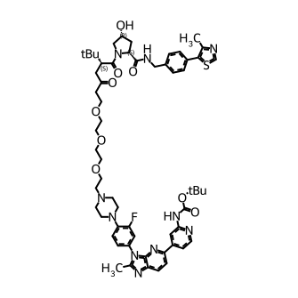 Cc1ncsc1-c1ccc(CNC(=O)[C@@H]2C[C@@H](O)CN2C(=O)[C@@H](CC(=O)CCOCCOCCOCCN2CCN(c3ccc(-n4c(C)nc5ccc(-c6ccnc(NC(=O)OC(C)(C)C)c6)nc54)cc3F)CC2)C(C)(C)C)cc1